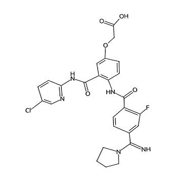 N=C(c1ccc(C(=O)Nc2ccc(OCC(=O)O)cc2C(=O)Nc2ccc(Cl)cn2)c(F)c1)N1CCCC1